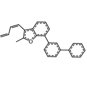 C=C/C=C\c1c(C)oc2c(-c3cccc(-c4ccccc4)c3)cccc12